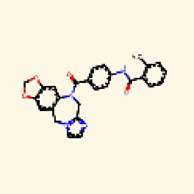 Cc1ccccc1C(=O)Nc1ccc(C(=O)N2Cc3nccn3Cc3cc4c(cc32)OCO4)cc1